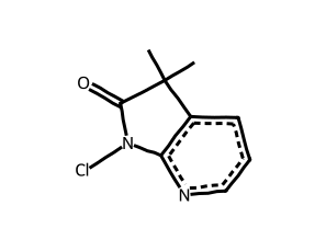 CC1(C)C(=O)N(Cl)c2ncccc21